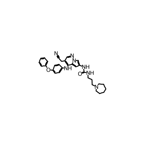 N#CCc1cnn2cc(NC(=O)NCCCN3CCCCCC3)cc2c1Nc1ccc(Oc2ccccc2)cc1